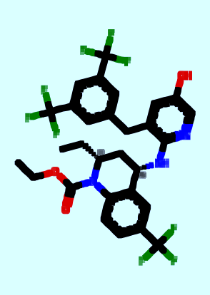 CCOC(=O)N1c2ccc(C(F)(F)F)cc2[C@@H](Nc2ncc(O)cc2Cc2cc(C(F)(F)F)cc(C(F)(F)F)c2)C[C@H]1CC